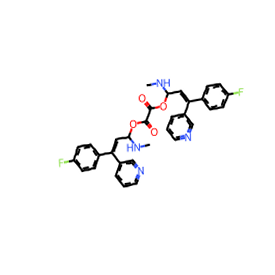 CNC(C=C(c1ccc(F)cc1)c1cccnc1)OC(=O)C(=O)OC(C=C(c1ccc(F)cc1)c1cccnc1)NC